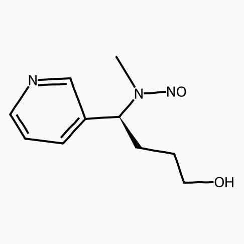 CN(N=O)[C@@H](CCCO)c1cccnc1